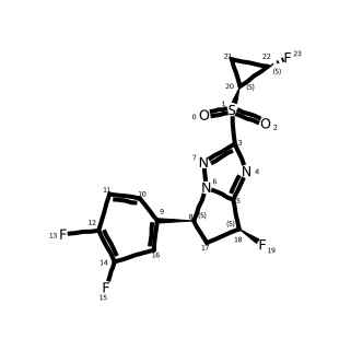 O=S(=O)(c1nc2n(n1)[C@H](c1ccc(F)c(F)c1)C[C@@H]2F)[C@H]1C[C@@H]1F